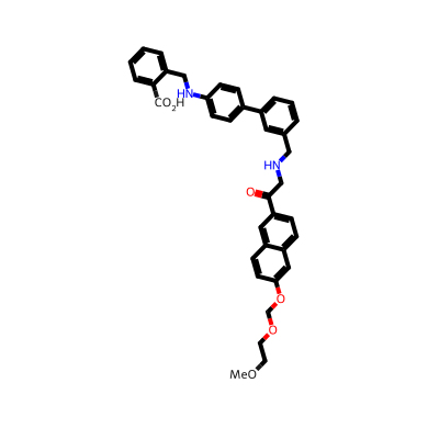 COCCOCOc1ccc2cc(C(=O)CNCc3cccc(-c4ccc(NCc5ccccc5C(=O)O)cc4)c3)ccc2c1